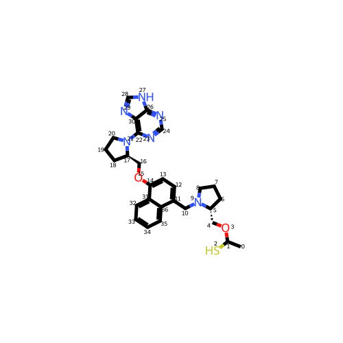 CC(S)OC[C@H]1CCCN1Cc1ccc(OC[C@H]2CCCN2c2ncnc3[nH]cnc23)c2ccccc12